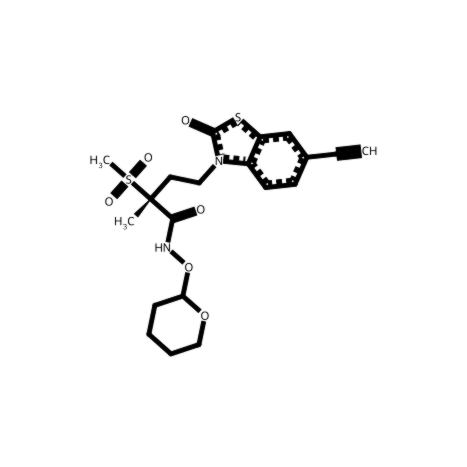 C#Cc1ccc2c(c1)sc(=O)n2CC[C@](C)(C(=O)NOC1CCCCO1)S(C)(=O)=O